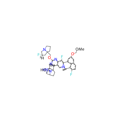 [2H]C1(F)CN2CCCC2(COc2nc(C34CCC(CNC3C(C)(C)C)N4C(=O)O)c3cnc(-c4cc(OCOC)cc5ccc(F)c(C#C)c45)c(F)c3n2)C1